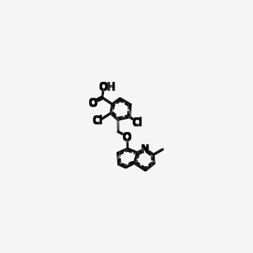 Cc1ccc2cccc(OCc3c(Cl)ccc(C(=O)O)c3Cl)c2n1